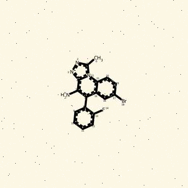 Cc1nnc2c(N)c(-c3ccccc3F)c3cc(Br)ccc3n12